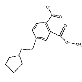 COC(=O)c1cc(CCN2CCCC2)ccc1[N+](=O)[O-]